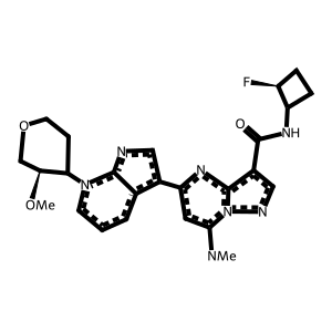 CNc1cc(-c2cnc3n(C4CCOC[C@@H]4OC)cccc2-3)nc2c(C(=O)NC3CC[C@@H]3F)cnn12